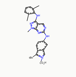 Cc1cccc(C)c1Nc1nn(C)c2nc(Nc3ccc4c(C(C)(C)C)n(C(=O)O)cc4c3)ncc12